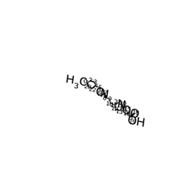 Cc1ccc(CON=CCCc2ccc(OCC(=O)O)nc2)cc1